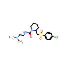 CN(C)CCNC(=O)N1CCCCC1CS(=O)(=O)c1ccc(Cl)cc1